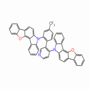 FC(F)(F)c1ccc(-c2cnccc2-n2c3ccccc3c3c4oc5ccccc5c4ccc32)c(-n2c3ccccc3c3c4oc5ccccc5c4ccc32)c1